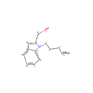 COCCCn1c(CO)cc2ccccc21